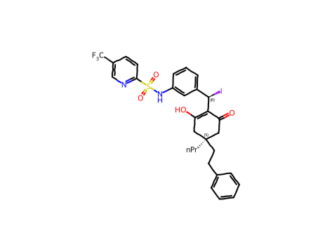 CCC[C@@]1(CCc2ccccc2)CC(=O)C([C@H](I)c2cccc(NS(=O)(=O)c3ccc(C(F)(F)F)cn3)c2)=C(O)C1